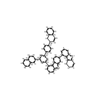 C1=Cc2sc3cccc(-c4ccc5c(c4)oc4cccc(-c6nc(-c7ccc(C8C=Cc9ccccc9C8)cc7)nc(-c7ccc8ccccc8c7)n6)c45)c3c2CC1